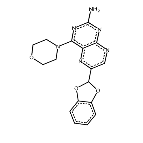 Nc1nc(N2CCOCC2)c2nc(C3Oc4ccccc4O3)cnc2n1